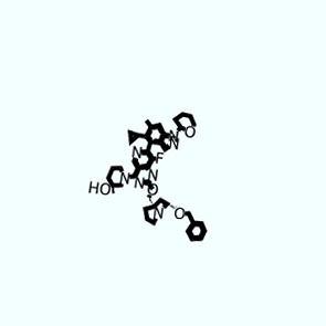 Cc1cc2c(cnn2C2CCCCO2)c(-c2ncc3c(N4CCC[C@@](C)(O)C4)nc(OC[C@@]45CCCN4[C@@H](COCc4ccccc4)C5)nc3c2F)c1C1CC1